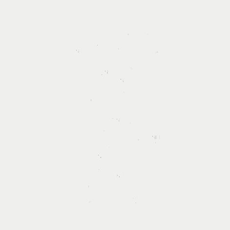 NC(=O)c1nn(CC(=O)N(CC(=O)Nc2cccc(Cl)n2)C2CCNC2)c2ccccc12